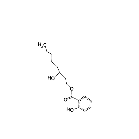 CCCCCC(O)CCOC(=O)c1ccccc1O